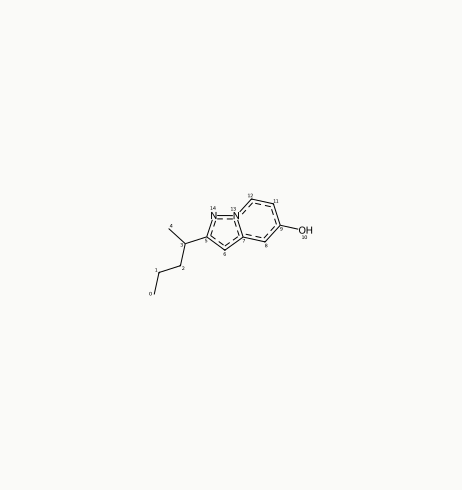 CCCC(C)c1cc2cc(O)ccn2n1